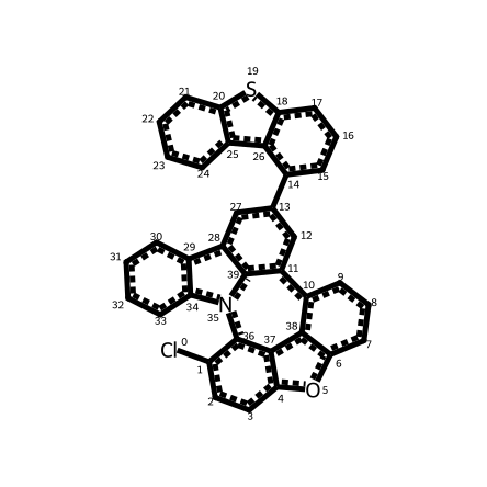 Clc1ccc2oc3cccc4c5cc(-c6cccc7sc8ccccc8c67)cc6c7ccccc7n(c1c2c34)c56